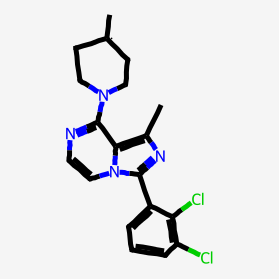 C[C]1CCN(c2nccn3c(-c4cccc(Cl)c4Cl)nc(C)c23)CC1